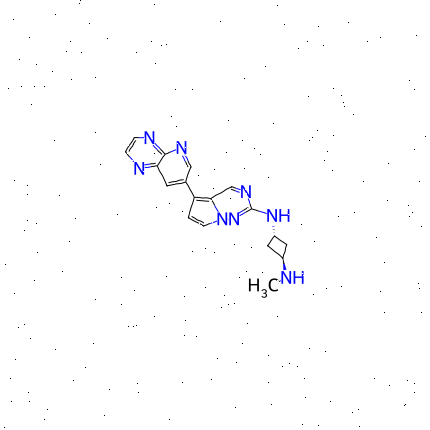 CN[C@H]1C[C@H](Nc2ncc3c(-c4cnc5nccnc5c4)ccn3n2)C1